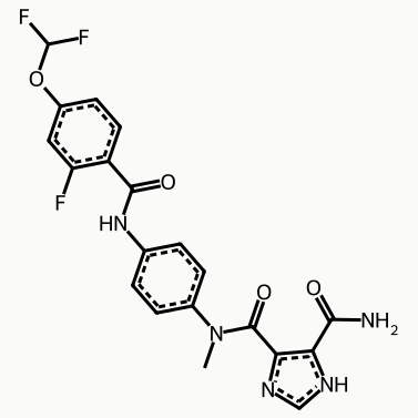 CN(C(=O)c1nc[nH]c1C(N)=O)c1ccc(NC(=O)c2ccc(OC(F)F)cc2F)cc1